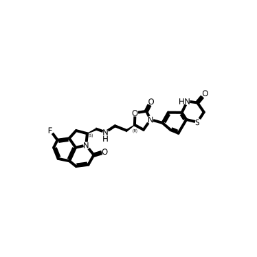 O=C1CSc2ccc(N3C[C@@H](CCNC[C@@H]4Cc5c(F)ccc6ccc(=O)n4c56)OC3=O)cc2N1